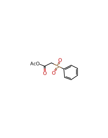 CC(=O)OC(=O)CS(=O)(=O)c1ccccc1